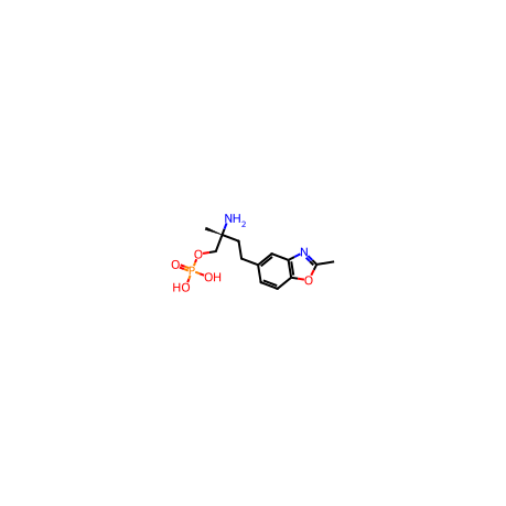 Cc1nc2cc(CC[C@@](C)(N)COP(=O)(O)O)ccc2o1